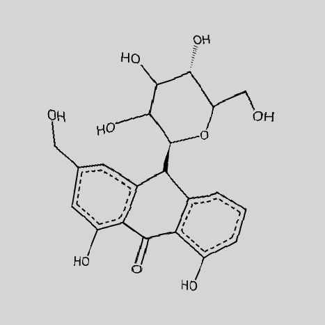 O=C1c2c(O)cccc2C([C@@H]2OC(CO)[C@@H](O)C(O)C2O)c2cc(CO)cc(O)c21